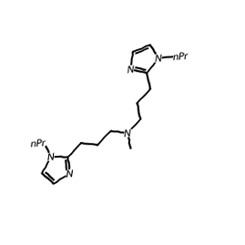 CCCn1ccnc1CCCN(C)CCCc1nccn1CCC